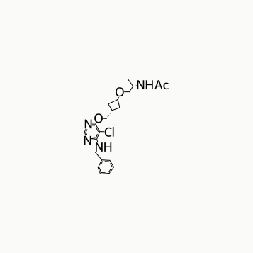 CC(=O)N[C@@H](C)CO[C@H]1C[C@H](COc2ncnc(NCc3ccccc3)c2Cl)C1